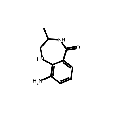 CC1CNc2c(N)cccc2C(=O)N1